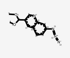 COC(OC)c1cnc2cc(N=[N+]=[N-])ccc2c1